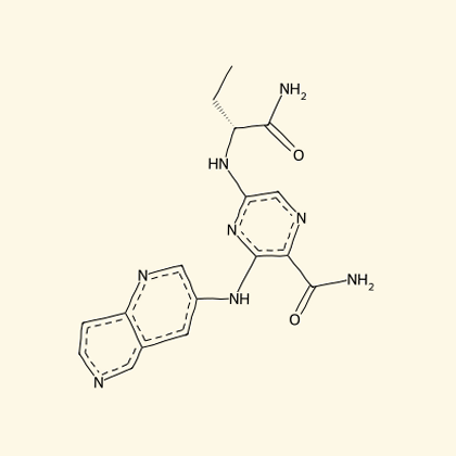 CC[C@@H](Nc1cnc(C(N)=O)c(Nc2cnc3ccncc3c2)n1)C(N)=O